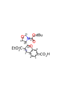 CCOC(=O)/C(=C/c1ccc(C(=O)O)cc1)C(=O)[C@@H]1COCN1C(=O)OC(C)(C)C